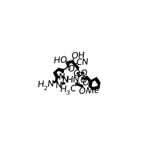 COC(=O)[C@H](C)NP(=O)(OCc1ccccc1)OC[C@@]1(C#N)O[C@@H](c2ccc3c(N)ncnn23)[C@H](O)[C@@H]1O